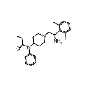 CCC(=O)N(c1ccccc1)C1CCN(CC(N)c2c(C)cccc2C)CC1